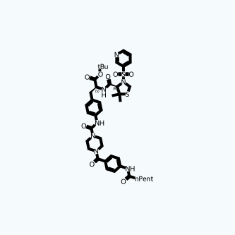 CCCCCC(=O)Nc1ccc(C(=O)N2CCN(C(=O)Nc3ccc(C[C@H](NC(=O)[C@H]4N(S(=O)(=O)c5cccnc5)CSC4(C)C)C(=O)OC(C)(C)C)cc3)CC2)cc1